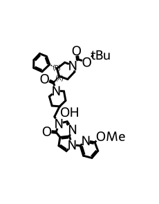 COc1cccc(-n2ccc3c(=O)n(CC4(O)CCN(C(=O)[C@@H]5CCN(C(=O)OC(C)(C)C)C[C@H]5c5ccccc5)CC4)cnc32)n1